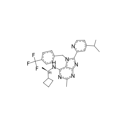 Cc1nc(N[C@H](C)C2CCC2)c2c(n1)nc(-c1cc(C(C)C)ccn1)n2Cc1ccc(C(F)(F)F)cc1